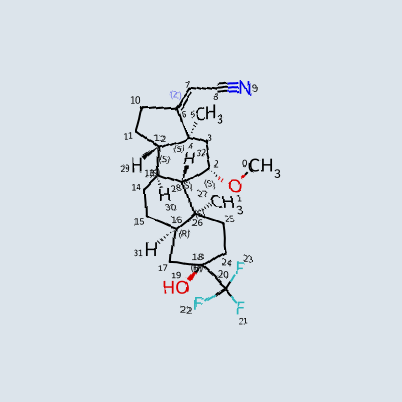 CO[C@H]1C[C@]2(C)/C(=C\C#N)CC[C@H]2[C@@H]2CC[C@@H]3C[C@@](O)(C(F)(F)F)CC[C@]3(C)[C@H]21